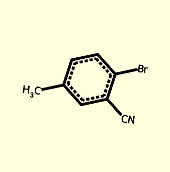 Cc1ccc(Br)c(C#N)c1